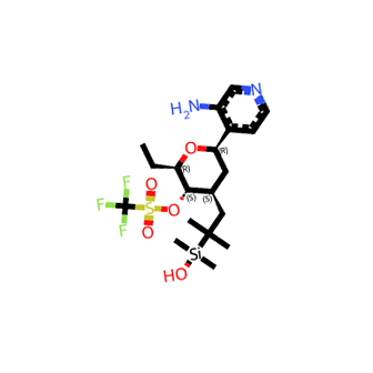 CC[C@H]1O[C@@H](c2ccncc2N)C[C@@H](CC(C)(C)[Si](C)(C)O)[C@@H]1OS(=O)(=O)C(F)(F)F